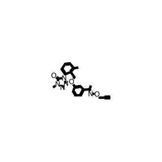 C#CCO/N=C(\C)c1cccc(OCc2c(C)cccc2-n2nnn(C)c2=O)c1